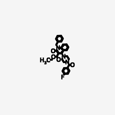 CCOC(=O)c1c(N2CCN(C(=O)c3ccc(F)cc3)CC2)c2ccccc2n(Cc2ccccc2)c1=O